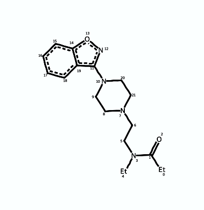 CCC(=O)N(CC)CCN1CCN(c2noc3ccccc23)CC1